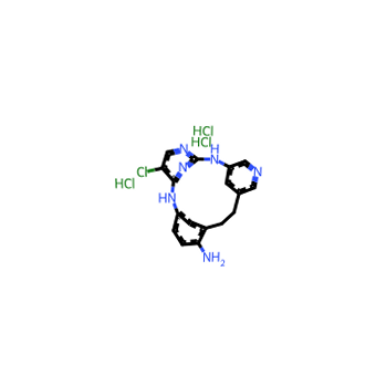 Cl.Cl.Cl.Nc1ccc2cc1CCc1cncc(c1)Nc1ncc(Cl)c(n1)N2